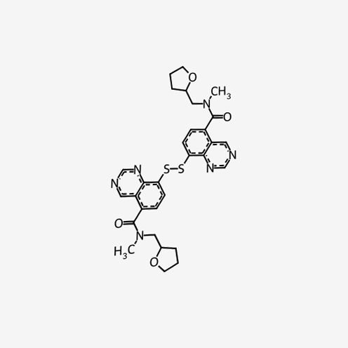 CN(CC1CCCO1)C(=O)c1ccc(SSc2ccc(C(=O)N(C)CC3CCCO3)c3cncnc23)c2ncncc12